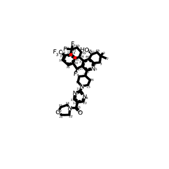 CC1(C)Cc2nc(C3CCN(c4ncc(C(=O)N5CCOCC5)cn4)CC3)c([C@@H](F)c3ccc(C(F)(F)F)cc3)c(C3CCC(F)(F)CC3)c2[C@@H](O)C1